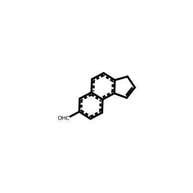 O=Cc1ccc2c3c(ccc2c1)CC=C3